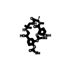 Br.C[C@@H](C(=O)NCC(C)(C)NCC(O)c1ccc(OC(=O)C(C)(C)C)c(OC(=O)C(C)(C)C)c1)N(C)C(=O)c1ccccc1